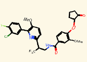 COc1cc(C(=O)NCC(c2ccc(OC)c(-c3ccc(F)c(Cl)c3)n2)C(F)(F)F)ccc1OC1CCCC1=O